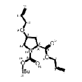 C=CCOC(=O)[C@@H]1CC(OCC=C)CN1C(=O)OC(C)(C)C